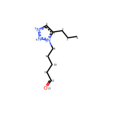 CCCc1cnnn1CCCCC=O